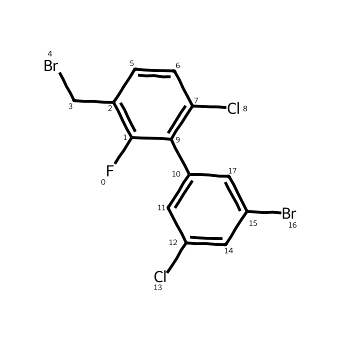 Fc1c(CBr)ccc(Cl)c1-c1cc(Cl)cc(Br)c1